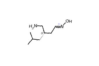 CC(C)C[C@H](CN)C/C=N/O